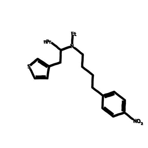 CCCC(Cc1ccsc1)N(CC)CCCCc1ccc([N+](=O)[O-])cc1